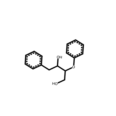 OCC(Oc1ccccc1)C(O)Cc1ccccc1